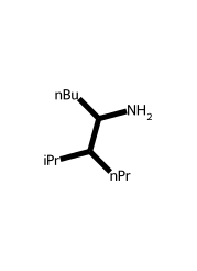 CCCCC(N)C(CCC)C(C)C